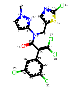 Cn1ccc(N(Cc2cnc(Cl)s2)C(=O)C(=C(Cl)Cl)c2cc(Cl)cc(Cl)c2)n1